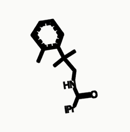 Cc1ccccc1C(C)(C)CNC(=O)C(C)C